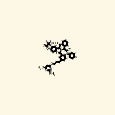 Cc1cc(OCCCc2ccc3c(c2)C(=O)N(C(CC(=O)O)c2ccccc2)C(c2ccccc2)C(=O)N3c2ccccc2)nc(N)n1.O=C(O)C(F)(F)F